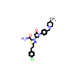 CC1CCN(Cc2ccc(N3C[C@@H](N4N=C(CCc5ccc(Cl)cc5)SC4C(N)=O)CC3=O)cc2)CC1